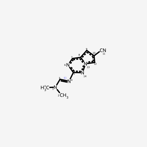 CN(C)/C=N/c1ncc2cc(C#N)cn2n1